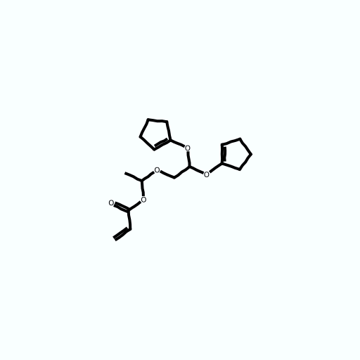 C=CC(=O)OC(C)OCC(OC1=CCCC1)OC1=CCCC1